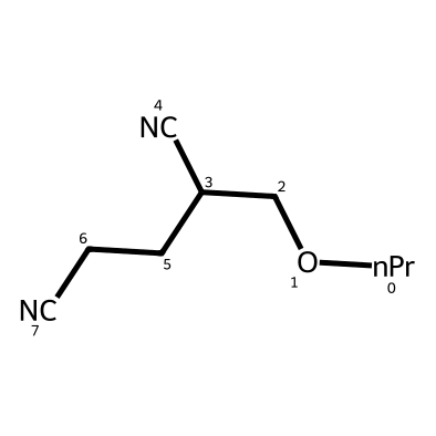 CCCOCC(C#N)CCC#N